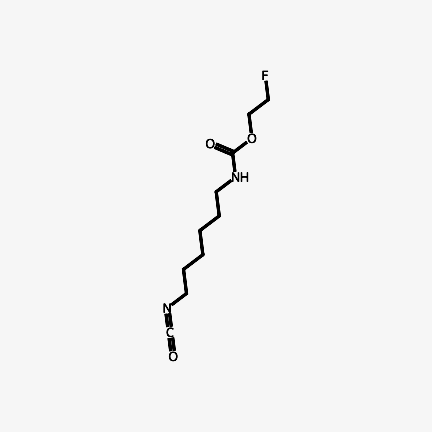 O=C=NCCCCCCNC(=O)OCCF